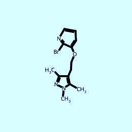 Cc1nn(C)c(C)c1CCOc1cccnc1Br